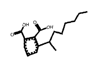 CCCCCCC(C)c1cccc(C(=O)O)c1C(=O)O